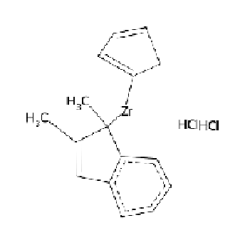 CC1=Cc2ccccc2[C]1(C)[Zr][C]1=CC=CC1.Cl.Cl